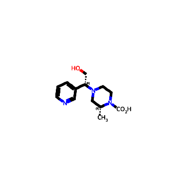 C[C@@H]1CN([C@@H](CO)c2cccnc2)CCN1C(=O)O